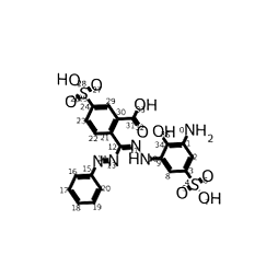 Nc1cc(S(=O)(=O)O)cc(NN=C(N=Nc2ccccc2)c2ccc(S(=O)(=O)O)cc2C(=O)O)c1O